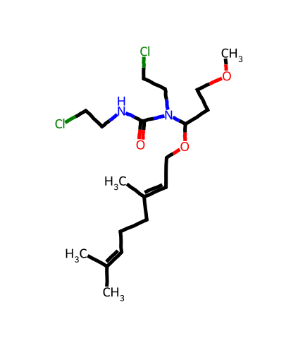 COCCC(OC/C=C(\C)CCC=C(C)C)N(CCCl)C(=O)NCCCl